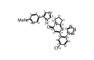 CNc1ccc(-c2cnc([C@@H]3CCc4nc(-c5cc(Cl)ccc5-n5cnnn5)cc(=O)n43)[nH]2)cn1